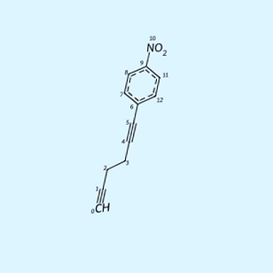 C#CCCC#Cc1ccc([N+](=O)[O-])cc1